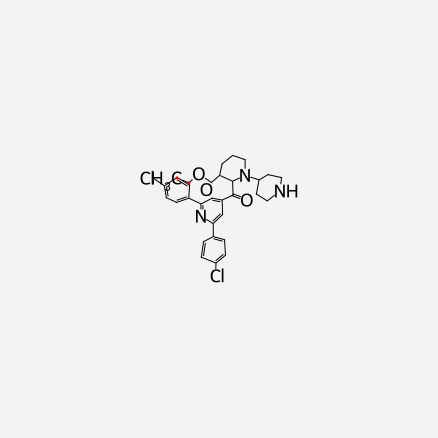 CCOC(=O)C1CCCN(C2CCNCC2)C1C(=O)c1cc(-c2ccc(Cl)cc2)nc(-c2ccc(Cl)cc2)c1